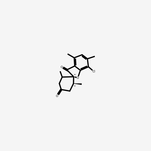 Cc1cc(C)c2c(c1Cl)O[C@]1(C2=O)C(C)CC(=O)C[C@@H]1C